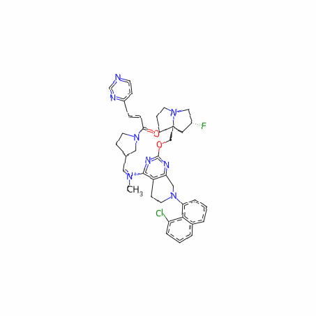 C/[N+](=C/C1CCN(C(=O)/C=C/c2ccncn2)C1)c1nc(OC[C@@]23CCCN2C[C@H](F)C3)nc2c1CCN(c1cccc3cccc(Cl)c13)C2